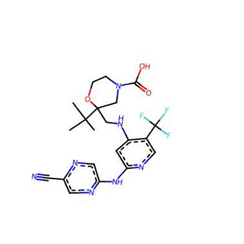 CC(C)(C)C1(CNc2cc(Nc3cnc(C#N)cn3)ncc2C(F)(F)F)CN(C(=O)O)CCO1